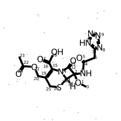 COC1(NC(=O)Cc2nnn[nH]2)C(=O)N2C(C(=O)O)=C(COC(C)=O)CS[C@H]21